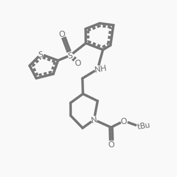 CC(C)(C)OC(=O)N1CCCC(CNc2ccccc2S(=O)(=O)c2cccs2)C1